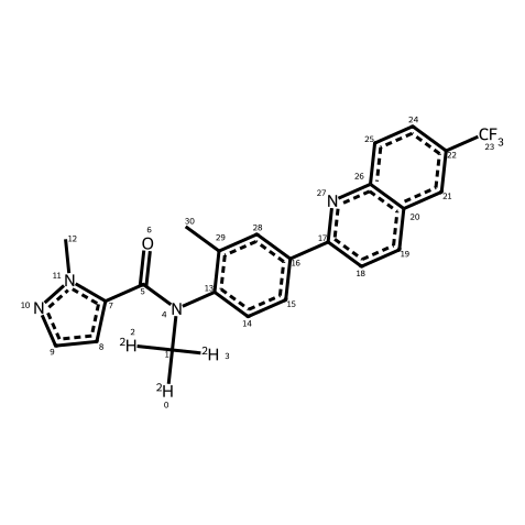 [2H]C([2H])([2H])N(C(=O)c1ccnn1C)c1ccc(-c2ccc3cc(C(F)(F)F)ccc3n2)cc1C